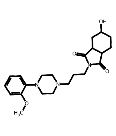 COc1ccccc1N1CCN(CCCN2C(=O)C3CCC(O)CC3C2=O)CC1